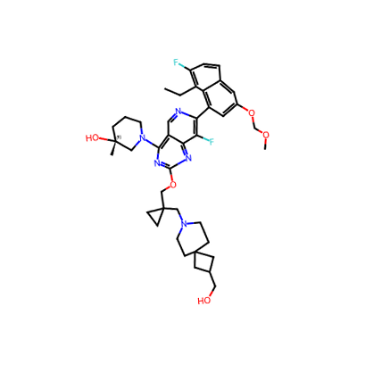 CCc1c(F)ccc2cc(OCOC)cc(-c3ncc4c(N5CCC[C@@](C)(O)C5)nc(OCC5(CN6CCC7(CC6)CC(CO)C7)CC5)nc4c3F)c12